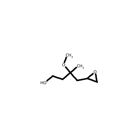 COC(C)(CCO)CC1CO1